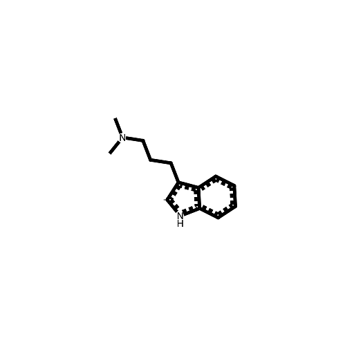 CN(C)CCCc1[c][nH]c2ccccc12